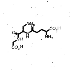 NC(CCC(=O)NC(C[SiH3])C(=O)NCC(=O)O)C(=O)O